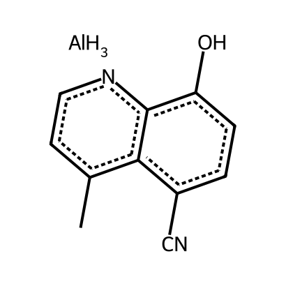 Cc1ccnc2c(O)ccc(C#N)c12.[AlH3]